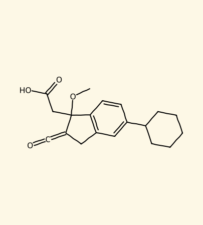 COC1(CC(=O)O)C(=C=O)Cc2cc(C3CCCCC3)ccc21